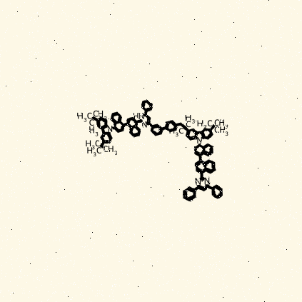 CC(C)(C)c1ccc2c(c1)c1cc(C(C)(C)C)ccc1n2-c1ccc(-c2ccc(C3=NC(c4cccc(-c5ccc(CC(C)(C)c6ccc7c(c6)c6cc(C(C)(C)C)ccc6n7-c6ccc(-c7ccc(-c8nc(-c9ccccc9)cc(-c9ccccc9)n8)c8ccccc78)c7ccccc67)cc5)c4)=CC(c4ccccc4)N3)c3ccccc23)c2ccccc12